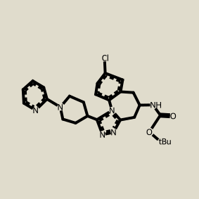 CC(C)(C)OC(=O)NC1Cc2cc(Cl)ccc2-n2c(nnc2C2CCN(c3ccccn3)CC2)C1